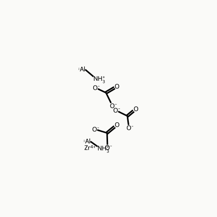 O=C([O-])[O-].O=C([O-])[O-].O=C([O-])[O-].[NH3+][Al].[NH3+][Al].[Zr+4]